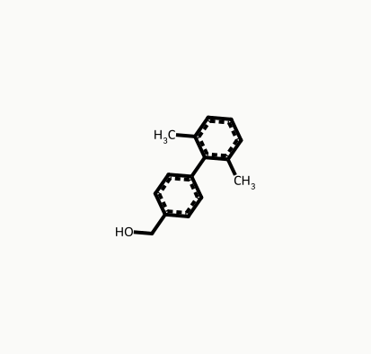 Cc1cccc(C)c1-c1ccc(CO)cc1